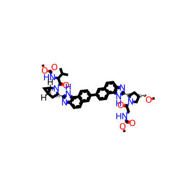 COC[C@H]1C[C@@H](c2nc3ccc4cc(-c5ccc6c(ccc7nc([C@@H]8C[C@H]9C[C@H]9N8C(=O)C(NC(=O)OC)C(C)C)[nH]c76)c5)ccc4c3[nH]2)N(C(=O)CNC(=O)OC)C1